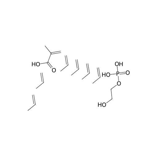 C=C(C)C(=O)O.C=CC.C=CC.C=CC.C=CC.C=CC.C=CC.O=P(O)(O)OCCO